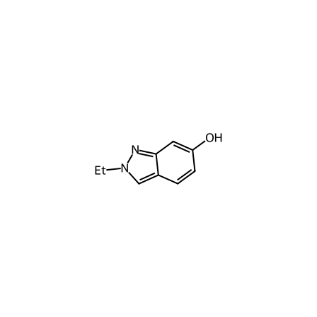 CCn1cc2ccc(O)cc2n1